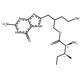 CC[C@H](C)[C@H](N)C(=O)OCC(CCO)Cc1nc2nc(N)[nH]c(=O)c2[nH]1